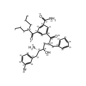 CCCN(CCC)C(=O)c1cc(C(N)=O)cc(C(=O)N(Cc2ccccc2)C[C@@H](O)[C@@H](N)Cc2cccc(Br)c2)c1